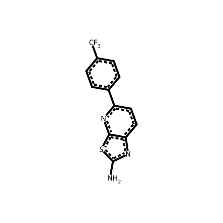 Nc1nc2ccc(-c3ccc(C(F)(F)F)cc3)nc2s1